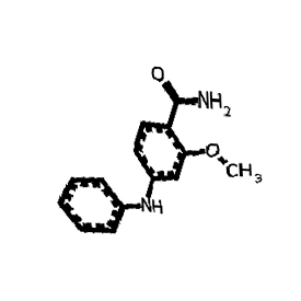 COc1cc(Nc2ccccc2)ccc1C(N)=O